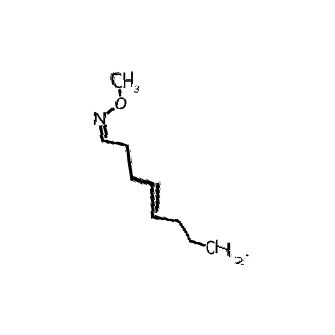 [CH2]CC/C=C/CC/C=N\OC